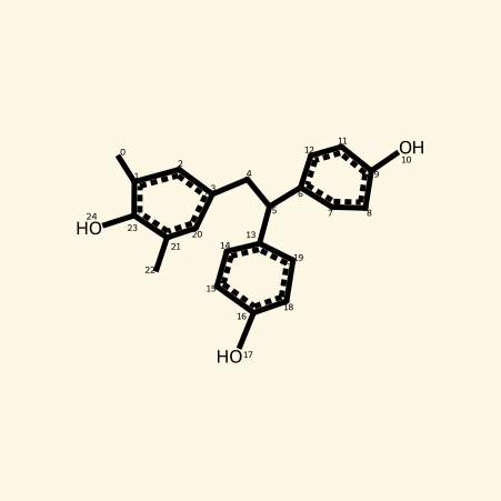 Cc1cc(CC(c2ccc(O)cc2)c2ccc(O)cc2)cc(C)c1O